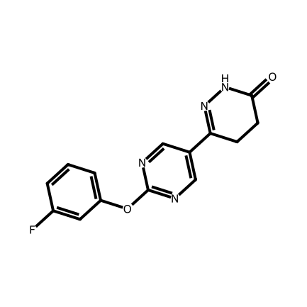 O=C1CCC(c2cnc(Oc3cccc(F)c3)nc2)=NN1